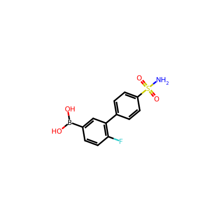 NS(=O)(=O)c1ccc(-c2cc(B(O)O)ccc2F)cc1